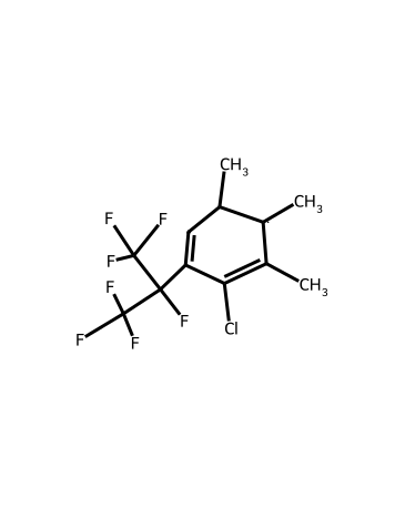 C[C]1C(C)=C(Cl)C(C(F)(C(F)(F)F)C(F)(F)F)=CC1C